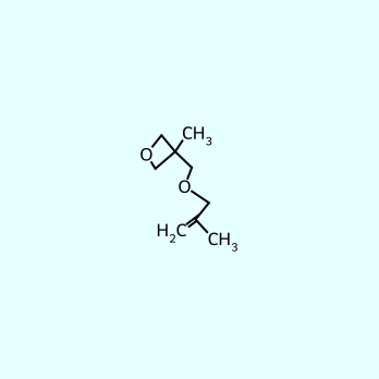 C=C(C)COCC1(C)COC1